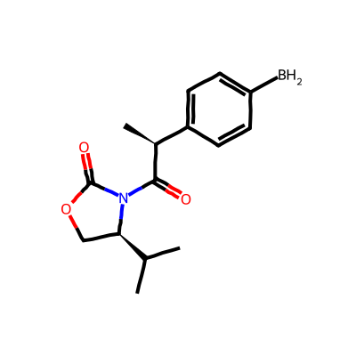 Bc1ccc([C@H](C)C(=O)N2C(=O)OC[C@@H]2C(C)C)cc1